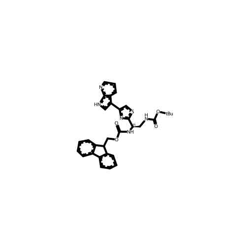 CC(C)(C)OC(=O)NC[C@@H](NC(=O)OCC1c2ccccc2-c2ccccc21)c1nc(-c2c[nH]c3ncccc23)cs1